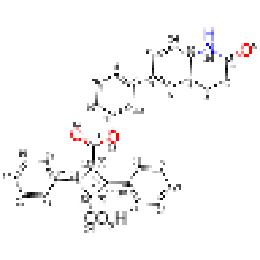 O=C1CCc2cc(-c3cccc(OC(=O)[C@@H]4C(c5ccccc5)[C@@H](C(=O)O)[C@@H]4c4ccccc4)c3)ccc2N1